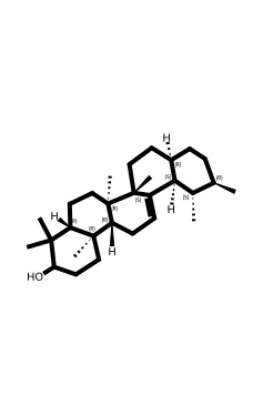 C[C@@H]1[C@H]2C3=CC[C@@H]4[C@@]5(C)CCC(O)C(C)(C)[C@@H]5CC[C@@]4(C)[C@]3(C)CC[C@H]2CC[C@H]1C